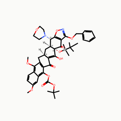 COc1ccc2c(OC)c3c(c(OC(=O)OC(C)(C)C)c2c1)C(=O)C1=C(O)[C@]2(O[Si](C)(C)C(C)(C)C)C(=O)c4c(OCc5ccccc5)noc4[C@@H](N4CCOCC4)[C@@H]2C[C@@H]1C3